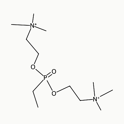 CCP(=O)(OCC[N+](C)(C)C)OCC[N+](C)(C)C